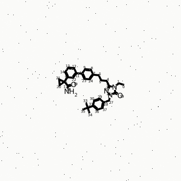 CCn1c(CCCc2ccc(-c3cccc(C4(C(N)=O)CC4)c3)cc2)nn(Cc2ccc(C(C)(C)C)cc2)c1=O